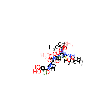 BOC(=O)C1=C(C[N+]23CCC[C@H]2CN(C(=O)c2ccc(O)c(O)c2Cl)CC3)CO[C@@H]2[C@H](NC(=O)/C(=N\O[C@H](C(=O)OB)C(C)C)c3nc(NC(=O)OC(C)(C)C)sc3Cl)C(=O)N12